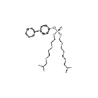 CC(C)CCCCCCCOP(=O)(OCCCCCCCC(C)C)Oc1ccc(-c2ccccc2)cc1